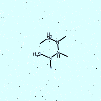 C[SiH2]N(C)[SiH](C)N(C)[SiH3]